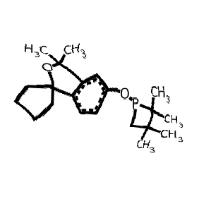 CC1(C)OC2(CCCC2)c2ccc(OP3CC(C)(C)C3(C)C)cc21